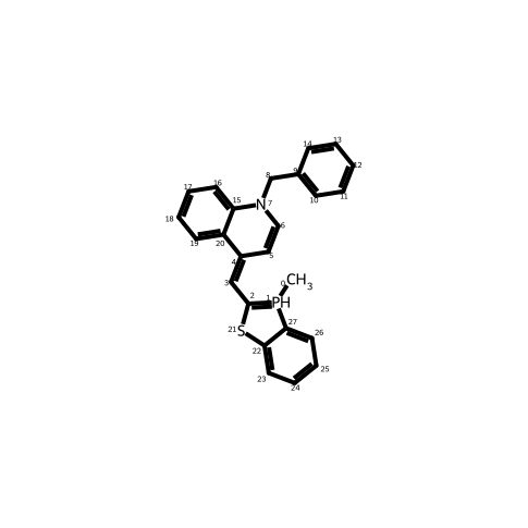 C[PH]1=C(/C=C2\C=CN(Cc3ccccc3)c3ccccc32)Sc2ccccc21